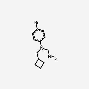 NCN(CC1CCC1)c1ccc(Br)cc1